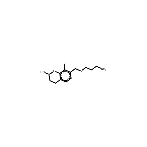 Cc1c(CSCCCN)ccc2c1OB(O)CC2